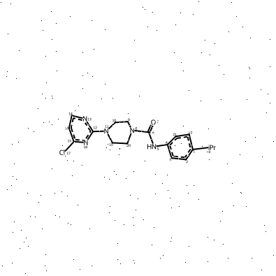 CC(C)c1ccc(NC(=O)N2CCN(c3nccc(Cl)n3)CC2)cc1